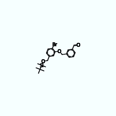 CC(C)(C)[Si](C)(C)OCc1ccc(Br)c(OCc2cccc(C=O)c2)c1